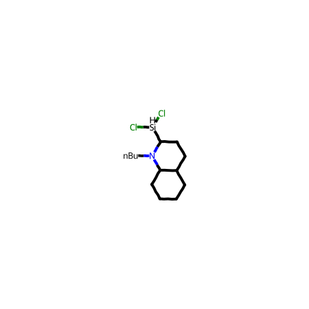 CCCCN1C2CCCCC2CCC1[SiH](Cl)Cl